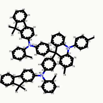 Cc1ccc(N2c3ccccc3C(c3ccc(N(c4ccc5c(c4)C(C)(C)c4ccccc4-5)c4ccccc4C)cc3)(c3ccc(N(c4ccc5c(c4)C(C)(C)c4ccccc4-5)c4ccccc4C)cc3)c3cc(C)ccc32)cc1